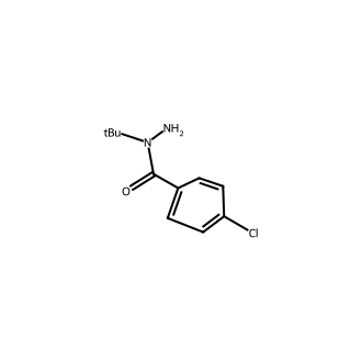 CC(C)(C)N(N)C(=O)c1ccc(Cl)cc1